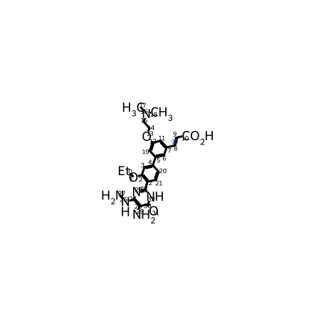 CCOc1cc(-c2cc(/C=C/C(=O)O)cc(OCCN(C)C)c2)ccc1-c1nc(NN)c(N)c(=O)[nH]1